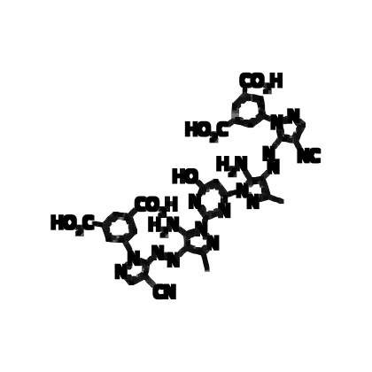 [C-]#[N+]c1cnn(-c2cc(C(=O)O)cc(C(=O)O)c2)c1N=Nc1c(C)nn(-c2cc(O)nc(-n3nc(C)c(N=Nc4c(C#N)cnn4-c4cc(C(=O)O)cc(C(=O)O)c4)c3N)n2)c1N